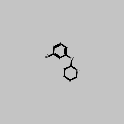 Oc1cccc(OC2CCCCO2)c1